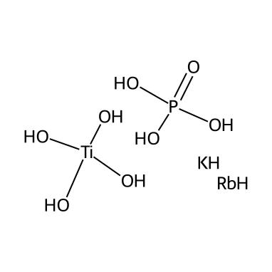 O=P(O)(O)O.[KH].[OH][Ti]([OH])([OH])[OH].[RbH]